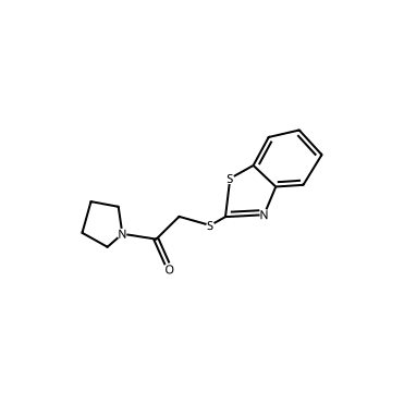 O=C(CSc1nc2ccccc2s1)N1CCCC1